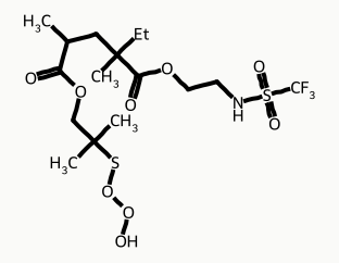 CCC(C)(CC(C)C(=O)OCC(C)(C)SOOO)C(=O)OCCNS(=O)(=O)C(F)(F)F